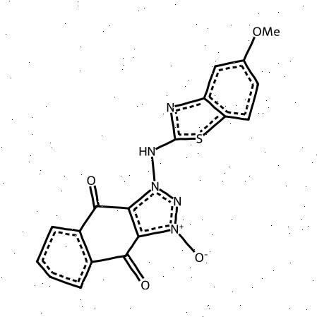 COc1ccc2sc(Nn3n[n+]([O-])c4c3C(=O)c3ccccc3C4=O)nc2c1